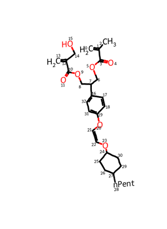 C=C(C)C(=O)OCC(COC(=O)C(=C)CO)c1ccc(O/C=C\OC2CCC(CCCCC)CC2)cc1